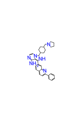 NC1=NC=CN2C1=C(c1ccc3ccc(-c4ccccc4)nc3c1)NC2C1CCC(CN2CCCC2)CC1